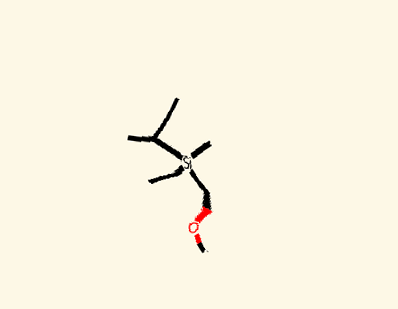 [CH2]OC[Si](C)(C)C(C)C